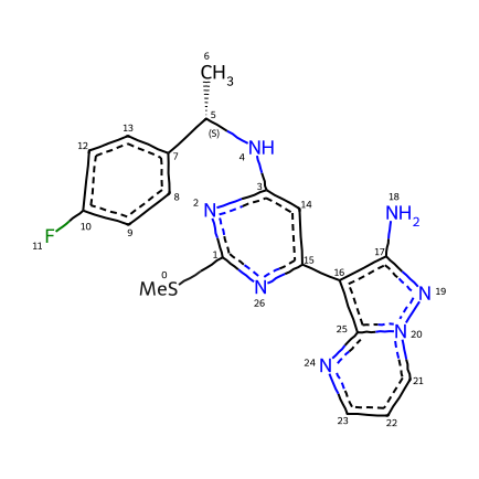 CSc1nc(N[C@@H](C)c2ccc(F)cc2)cc(-c2c(N)nn3cccnc23)n1